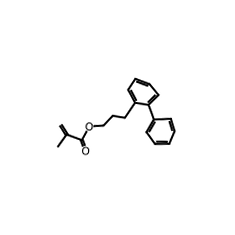 C=C(C)C(=O)OCCCc1ccccc1-c1ccccc1